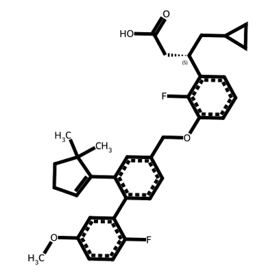 COc1ccc(F)c(-c2ccc(COc3cccc([C@H](CC(=O)O)CC4CC4)c3F)cc2C2=CCCC2(C)C)c1